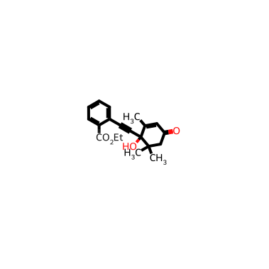 CCOC(=O)c1ccccc1C#CC1(O)C(C)=CC(=O)CC1(C)C